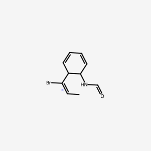 C/C=C(/Br)C1C=CC=CC1NC=O